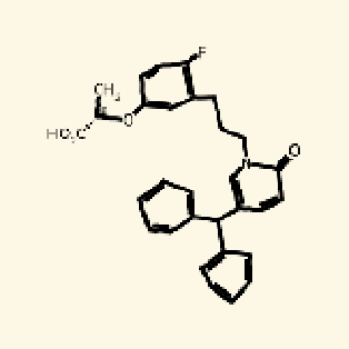 C[C@H](Oc1ccc(F)c(CCCn2cc(C(c3ccccc3)c3ccccc3)ccc2=O)c1)C(=O)O